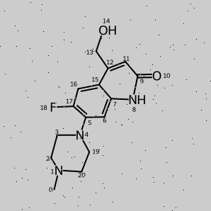 CN1CCN(c2cc3[nH]c(=O)cc(CO)c3cc2F)CC1